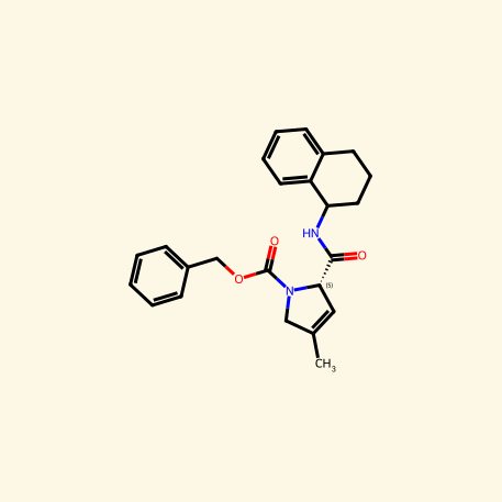 CC1=C[C@@H](C(=O)NC2CCCc3ccccc32)N(C(=O)OCc2ccccc2)C1